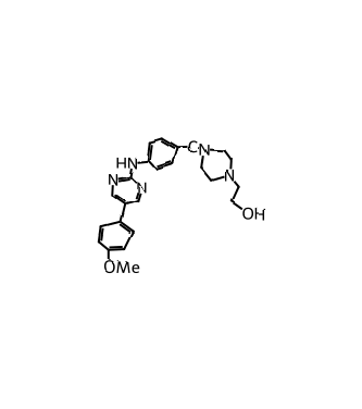 COc1ccc(-c2cnc(Nc3ccc(CN4CCN(CCO)CC4)cc3)nc2)cc1